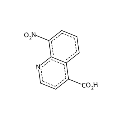 O=C(O)c1ccnc2c([N+](=O)[O-])cccc12